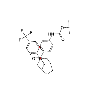 CC(C)(C)OC(=O)Nc1ccc(C(=O)N2C3CCC2CN(c2ncc(C(F)(F)F)cn2)C3)cc1